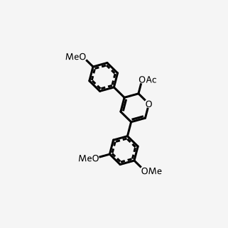 COc1ccc(C2=CC(c3cc(OC)cc(OC)c3)=COC2OC(C)=O)cc1